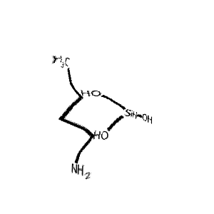 CCCCN.O[SiH](O)O